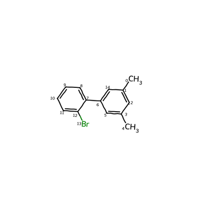 Cc1[c]c(C)cc(-c2ccccc2Br)c1